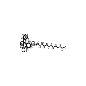 CCCCCCCCCCCCCCOc1ccc(C(=O)O)c(C(=O)n2ccnc2)c1